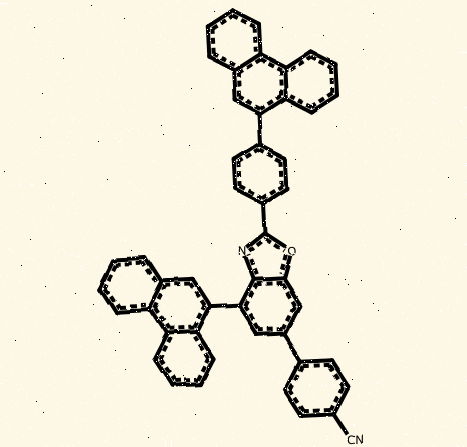 N#Cc1ccc(-c2cc(-c3cc4ccccc4c4ccccc34)c3nc(-c4ccc(-c5cc6ccccc6c6ccccc56)cc4)oc3c2)cc1